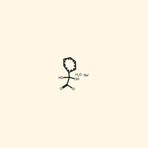 O.O=C([O-])C(O)(O)c1ccccc1.[Na+]